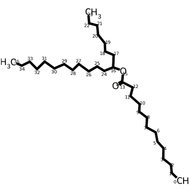 CCCCCCCCCCCCCC(=O)OC(CCCCCCC)CCCCCCCCCCCC